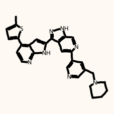 Cc1ccc(-c2ccnc3[nH]c(-c4n[nH]c5cnc(-c6cncc(CN7CCCCC7)c6)cc45)cc23)s1